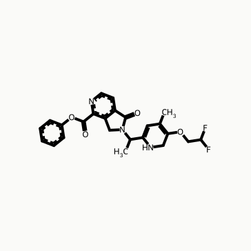 CC1=C(OCC(F)F)CNC(C(C)N2Cc3c(ccnc3C(=O)Oc3ccccc3)C2=O)=C1